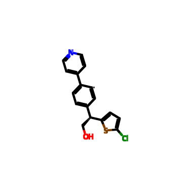 OC[C@@H](c1c[c]c(-c2ccncc2)cc1)c1ccc(Cl)s1